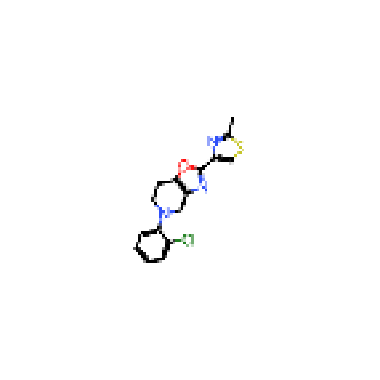 Cc1nc(-c2nc3c(o2)CCN(c2ccccc2Cl)C3)cs1